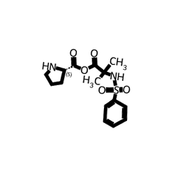 CC(C)(NS(=O)(=O)c1ccccc1)C(=O)OC(=O)[C@@H]1CCCN1